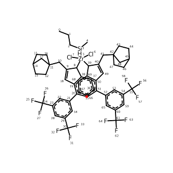 CCC[SiH](C)[Zr]([Cl])([Cl])([CH]1C(CC23CCC(CC2)C3)=Cc2c(-c3cc(C(F)(F)F)cc(C(F)(F)F)c3)cccc21)[CH]1C(CC23CCC(CC2)C3)=Cc2c(-c3cc(C(F)(F)F)cc(C(F)(F)F)c3)cccc21